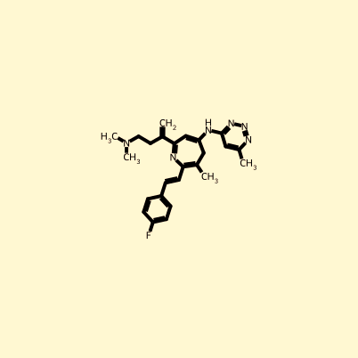 C=C(CCN(C)C)C1=NC(/C=C/c2ccc(F)cc2)=C(C)CC(Nc2cc(C)nnn2)=C1